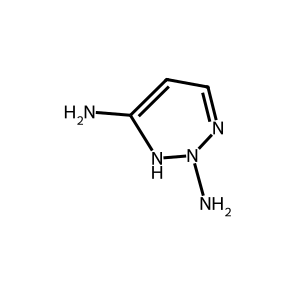 NC1=CC=NN(N)N1